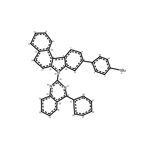 CC(C)(C)c1ccc(-c2ccc3c4c5ccccc5ccc4n(-c4nc(-c5ccccc5)c5ccccc5n4)c3c2)cc1